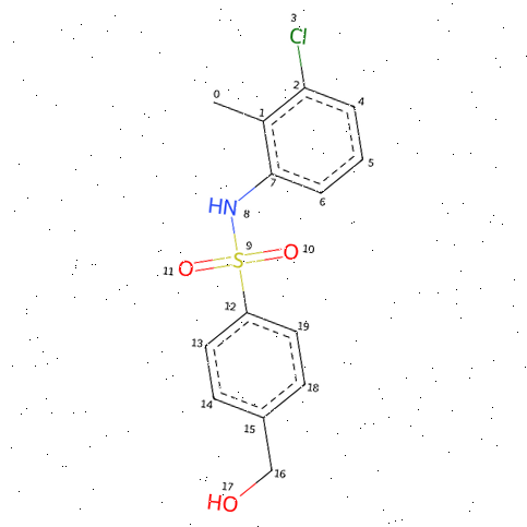 Cc1c(Cl)cccc1NS(=O)(=O)c1ccc(CO)cc1